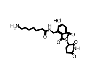 Cl.NCCCCCCC(=O)NCc1cccc2c1C(=O)N(C1CCC(=O)NC1=O)C2=O